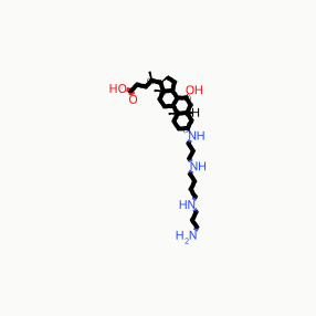 C[C@H](CCC(=O)O)[C@H]1CCC2C3C(CC[C@@]21C)[C@@]1(C)CC[C@H](NCCCNCCCCNCCCN)C[C@H]1C[C@H]3O